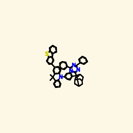 CC1(C)c2ccccc2N(c2ccc(C3(c4nc(-c5ccccc5)nc(-c5ccccc5)n4)C4CC5CC(C4)CC3C5)cc2)c2ccc(-c3ccc4sc5ccccc5c4c3)cc21